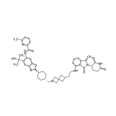 C=C1c2cccc(NCCC3CC4(C3)CN(C[C@H]3CC[C@H](c5nc6cc(C(C)(C)O)c(NC(=O)c7cccc(C(F)(F)F)n7)cc6s5)CC3)C4)c2C(=O)N1C1CCC(=O)NC1=O